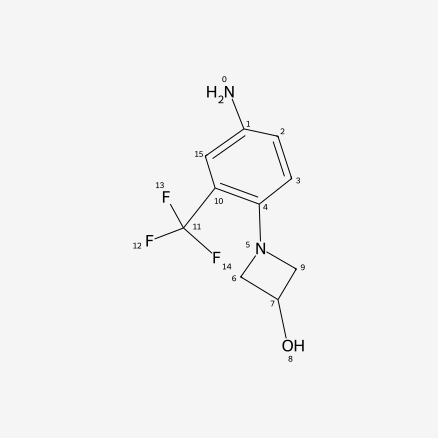 Nc1ccc(N2CC(O)C2)c(C(F)(F)F)c1